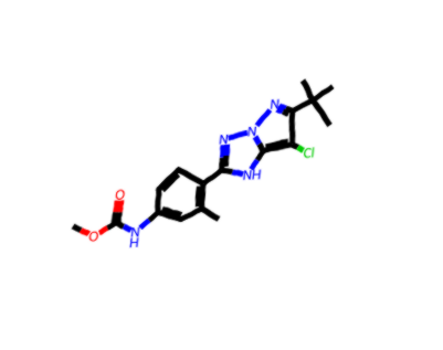 COC(=O)Nc1ccc(-c2nn3nc(C(C)(C)C)c(Cl)c3[nH]2)c(C)c1